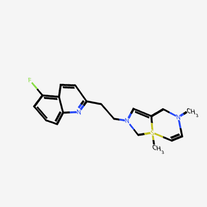 CN1C=CS2(C)CN(CCc3ccc4c(F)cccc4n3)C=C2C1